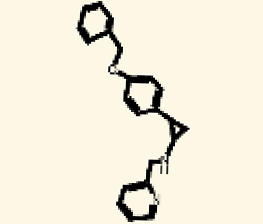 c1ccc(COc2ccc(C3CC3NCc3ccccn3)cc2)cc1